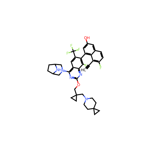 C#Cc1c(F)ccc2cc(O)cc(-c3c(C(F)(F)F)cc4c(N5CC6CCC(C5)N6)nc(OCC5(CN6CCC7(CC6)CC7)CC5)nc4c3F)c12